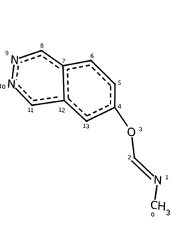 CN=COc1ccc2cnncc2c1